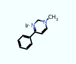 CN1C=CC(c2ccccc2)=NC1.[Ir]